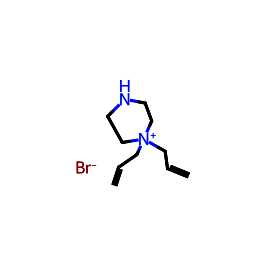 C=CC[N+]1(CC=C)CCNCC1.[Br-]